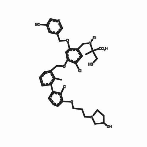 CCN(Cc1cc(Cl)c(OCc2cccc(-c3cccc(OCCCN4CC[C@@H](O)C4)c3Cl)c2C)cc1OCc1cncc(C#N)c1)C(C)(CO)C(=O)O